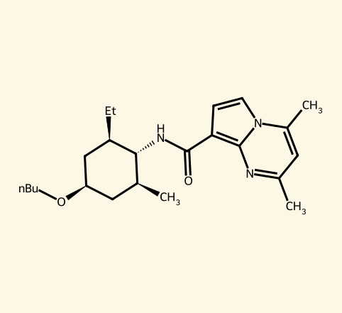 CCCCO[C@H]1C[C@@H](CC)[C@H](NC(=O)c2ccn3c(C)cc(C)nc23)[C@@H](C)C1